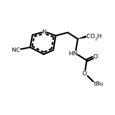 CC(C)(C)OC(=O)N[C@@H](Cc1ccc(C#N)cn1)C(=O)O